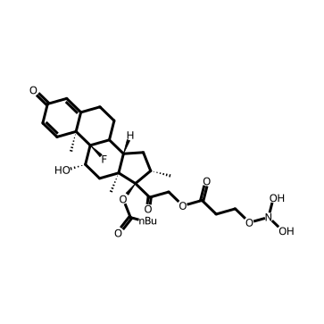 CCCCC(=O)O[C@]1(C(=O)COC(=O)CCON(O)O)[C@@H](C)C[C@H]2C3CCC4=CC(=O)C=C[C@]4(C)[C@@]3(F)[C@@H](O)C[C@@]21C